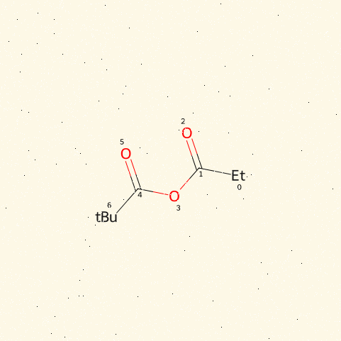 CCC(=O)OC(=O)C(C)(C)C